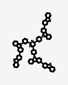 c1cc(-c2nc(-c3ccc(-n4c5ccccc5c5cc(-c6ccc7c(c6)sc6ccccc67)ccc54)cc3)cc(-c3ccc(-n4c5ccccc5c5cc(-c6ccc7c(c6)sc6ccccc67)ccc54)cc3)n2)cc(-n2c3ccccc3c3cc(-c4ccc5c(c4)sc4ccccc45)ccc32)c1